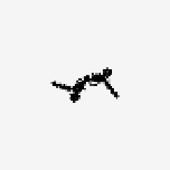 CCCCCCCCOc1cc2oc(-c3ccc(-c4nc5cc(C6CCCCC6)c(OCCCCCCCC)cc5o4)s3)nc2cc1C1CCCCC1